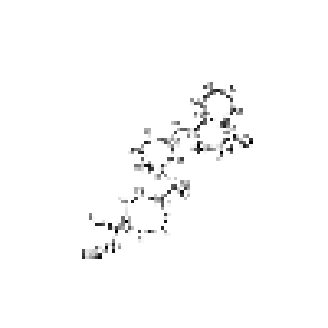 CC(C)(C)OC(=O)N1CCCN(C(=O)c2cc(Cc3n[nH]c(=O)c4ccccc34)ccn2)CC1